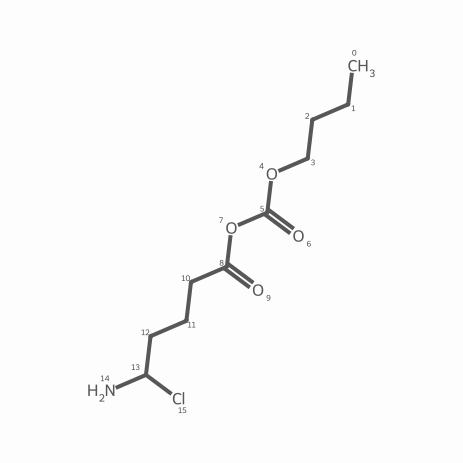 CCCCOC(=O)OC(=O)CCCC(N)Cl